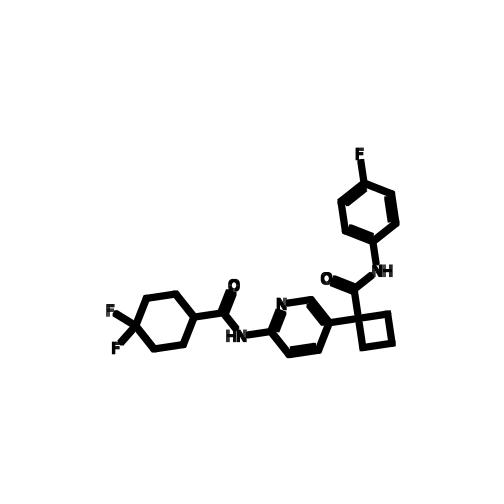 O=C(Nc1ccc(C2(C(=O)Nc3ccc(F)cc3)CCC2)cn1)C1CCC(F)(F)CC1